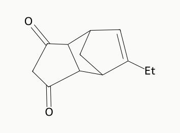 CCC1=CC2CC1C1C(=O)CC(=O)C21